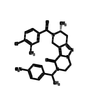 CC(c1ccc([N+](=O)[O-])cc1)N1CCn2nc3c(c2C1=O)CN(C(=O)c1ccc(Cl)c(C(F)(F)F)c1)[C@H](C)C3